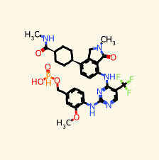 CNC(=O)[C@H]1CC[C@@H](c2ccc(Nc3nc(Nc4ccc(CO[PH](=O)O)cc4OC)ncc3C(F)(F)F)c3c2CN(C)C3=O)CC1